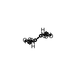 CC(=O)N[C@@H](C)C(=O)N1CCC[C@H]1C(=O)Nc1ccc(C#Cc2ccc(NC(=O)[C@@H]3CCCN3C(=O)[C@H](C)NC(C)=O)cc2)cc1